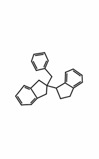 c1ccc(CC2(C3CCc4ccccc43)Cc3ccccc3C2)cc1